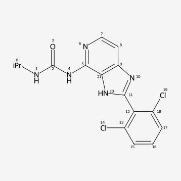 CC(C)NC(=O)Nc1nccc2nc(-c3c(Cl)cccc3Cl)[nH]c12